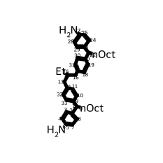 CCCCCCCCC(c1ccc(N)cc1)c1ccc(CC(CC)Cc2ccc(C(CCCCCCCC)c3ccc(N)cc3)cc2)cc1